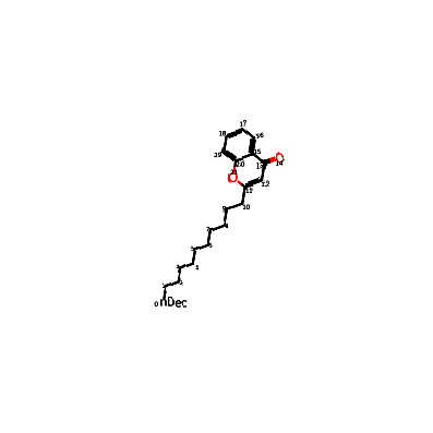 CCCCCCCCCCCCCCCCCCCCc1cc(=O)c2ccccc2o1